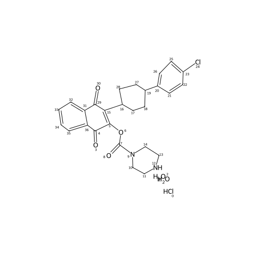 Cl.O.O.O=C1C(OC(=O)N2CCNCC2)=C(C2CCC(c3ccc(Cl)cc3)CC2)C(=O)c2ccccc21